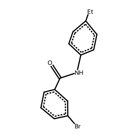 [CH2]Cc1ccc(NC(=O)c2cccc(Br)c2)cc1